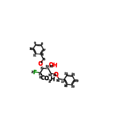 O=C(O)[C@@H](F)[C@H](OCc1ccccc1)[C@H](O)COCc1ccccc1